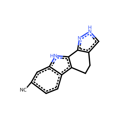 N#Cc1ccc2c3c([nH]c2c1)-c1n[nH]cc1CC3